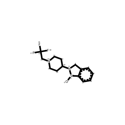 [O-][S+]1c2ccccc2CN1C1CCN(CC(F)(F)F)CC1